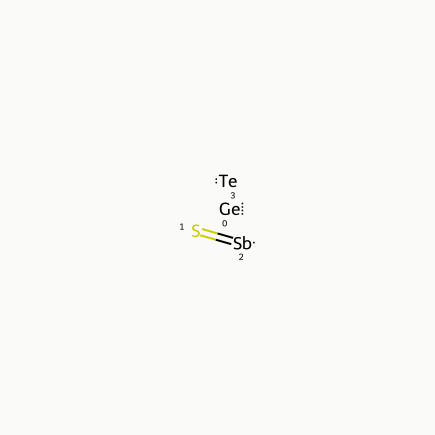 [Ge].[S]=[Sb].[Te]